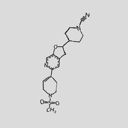 CS(=O)(=O)N1CC=C(c2cc3c(cn2)OC(C2CCN(C#N)CC2)C3)CC1